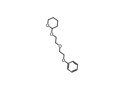 c1ccc(OCCOCCOC2CCCCO2)cc1